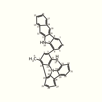 Cc1cc(-c2cccc3c2[nH]c2cc4ccccc4cc23)c2c3c1c1cccc4c5cccc(c5n3c41)B2